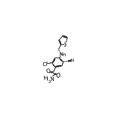 N#Cc1cc(S(N)(=O)=O)c(Cl)cc1NCc1cccs1